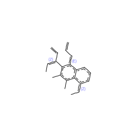 C=C/C=c1\c(/C(C=C)=C\C)c(C)c(C)c2/c(=C\C)cccc12